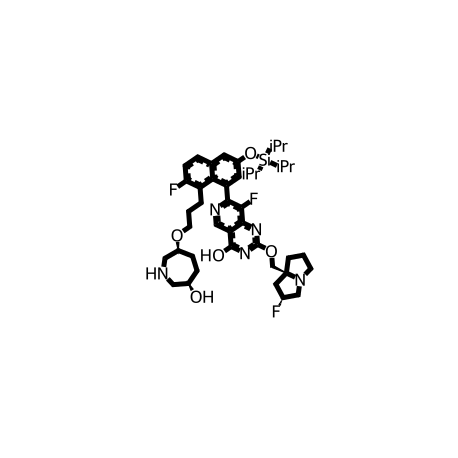 CC(C)[Si](Oc1cc(-c2ncc3c(O)nc(OC[C@@]45CCCN4C[C@H](F)C5)nc3c2F)c2c(CCCO[C@H]3CC[C@@H](O)CNC3)c(F)ccc2c1)(C(C)C)C(C)C